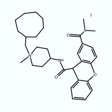 CN(C)C(=O)c1ccc2c(c1)C(C(=O)NC1CC[N+](C)(CC3CCCCCCC3)CC1)c1ccccc1O2.[I-]